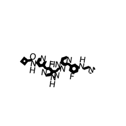 CN(C)CCNc1cc(F)cc(-c2nccc3[nH]c(-c4n[nH]c5cnc(-c6cncc(NC(=O)C7CCC7)c6)c(F)c45)nc23)c1